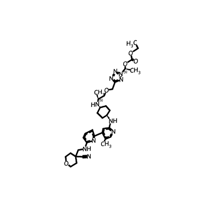 CCOC(=O)O[C@@H](C)n1nnc(COC[C@H](C)N[C@H]2CC[C@H](Nc3cc(-c4cccc(NCC5(C#N)CCOCC5)n4)c(C)cn3)CC2)n1